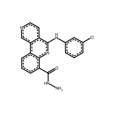 NNC(=O)c1cccc2c1nc(Nc1cccc(Cl)c1)c1ccncc12